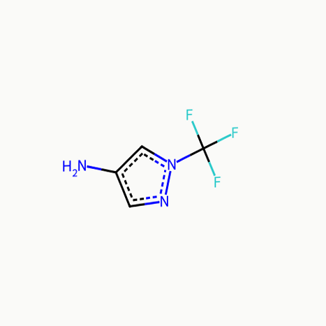 Nc1cnn(C(F)(F)F)c1